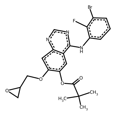 CC(C)(C)C(=O)Oc1cc2c(Nc3cccc(Br)c3F)ncnc2cc1OCC1CO1